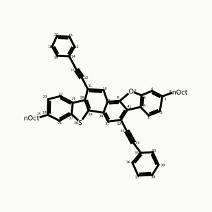 CCCCCCCCc1ccc2c(c1)oc1c3cc(C#Cc4ccccc4)c4c5ccc(CCCCCCCC)cc5sc4c3cc(C#Cc3ccccc3)c21